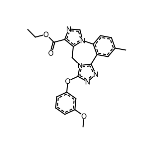 CCOC(=O)c1ncn2c1Cn1c(Oc3cccc(OC)c3)nnc1-c1cc(C)ccc1-2